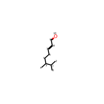 CC(C)C(C)CC/C=C/C=O